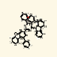 c1ccc(-c2nc(-c3cc(-c4ccccc4)c4c(c3)oc3ccccc34)nc(-n3c4ccccc4c4cccc(-c5ccccc5)c43)n2)cc1